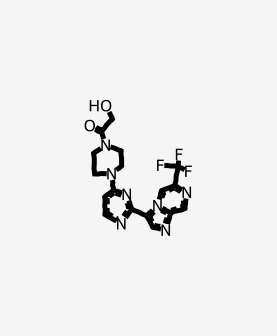 O=C(CO)N1CCN(c2ccnc(-c3cnc4cnc(C(F)(F)F)cn34)n2)CC1